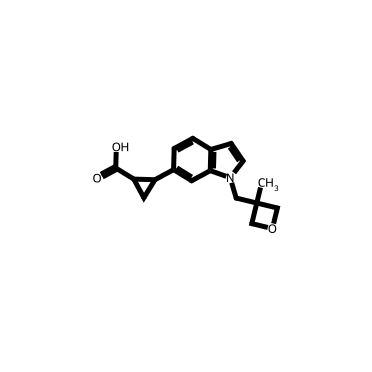 CC1(Cn2ccc3ccc(C4CC4C(=O)O)cc32)COC1